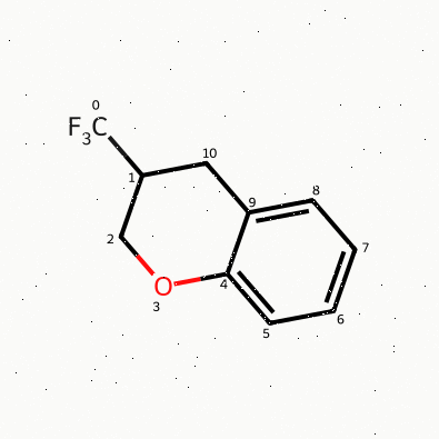 FC(F)(F)C1COc2ccccc2C1